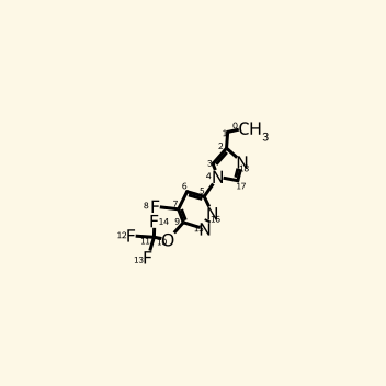 CCc1cn(-c2cc(F)c(OC(F)(F)F)nn2)cn1